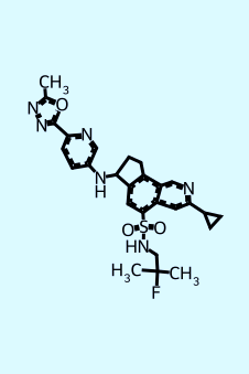 Cc1nnc(-c2ccc(NC3CCc4c3cc(S(=O)(=O)NCC(C)(C)F)c3cc(C5CC5)ncc43)cn2)o1